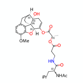 COc1ccc2c3c1O[C@@H]1C(OC(=O)[C@H](C)OC(=O)CCNC(=O)[C@H](CC(C)C)NC(C)=O)=CC[C@]4(O)[C@@H](CCC[C@@]314)C2